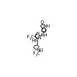 O=C1Cc2cc(Nc3ncc(C(F)(F)F)c(NCC4CCCN(C(=O)C(F)(F)F)C4)n3)ccc2N1